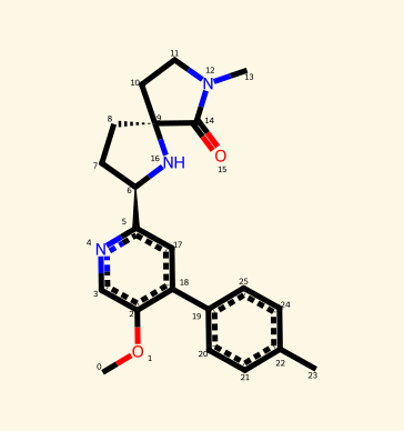 COc1cnc([C@H]2CC[C@@]3(CCN(C)C3=O)N2)cc1-c1ccc(C)cc1